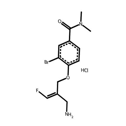 CN(C)C(=O)c1ccc(OC/C(=C\F)CN)c(Br)c1.Cl